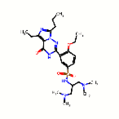 CCCc1nc(CC)c2c(=O)[nH]c(-c3cc(S(=O)(=O)NC(CN(C)C)CN(C)C)ccc3OCC)nn12